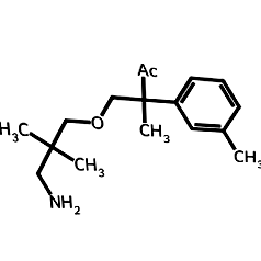 CC(=O)C(C)(COCC(C)(C)CN)c1cccc(C)c1